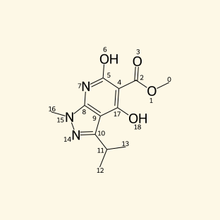 COC(=O)c1c(O)nc2c(c(C(C)C)nn2C)c1O